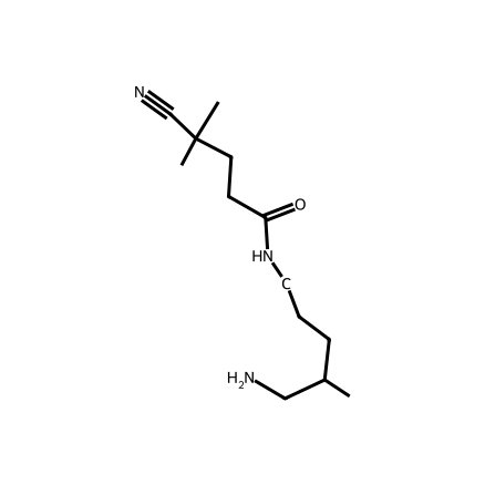 CC(CN)CCCNC(=O)CCC(C)(C)C#N